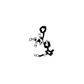 Cc1ccc(OCCO)cc1-c1ccnc(N2N=C(NC=O)NC2Cc2ccccc2)c1